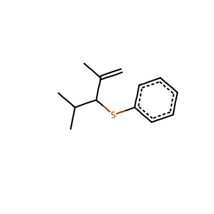 C=C(C)C(Sc1ccccc1)C(C)C